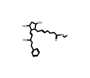 CCNC(=O)CCC/C=C/CC1C(O)CC(O)C1/C=C/C(O)CCc1ccccc1